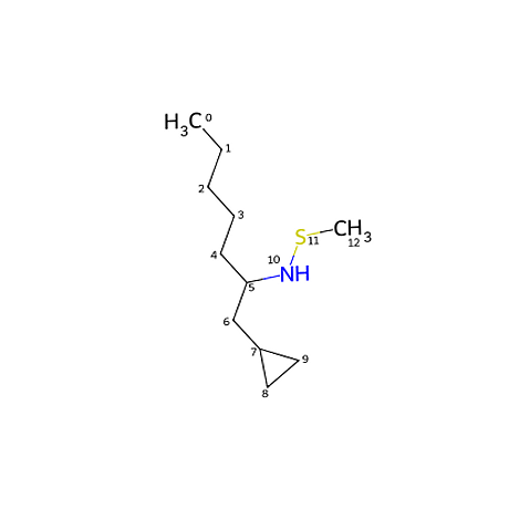 CCCCCC(CC1CC1)NSC